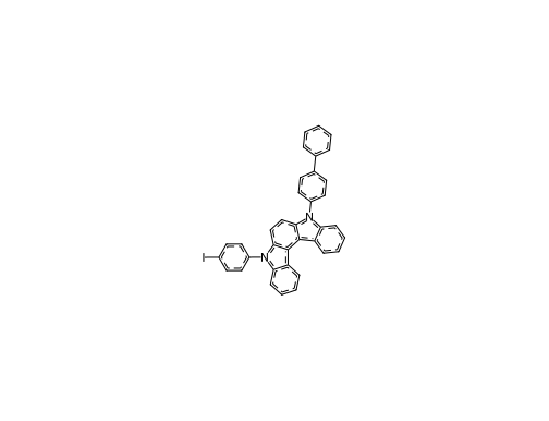 Ic1ccc(-n2c3ccccc3c3c4c5ccccc5n(-c5ccc(-c6ccccc6)cc5)c4ccc32)cc1